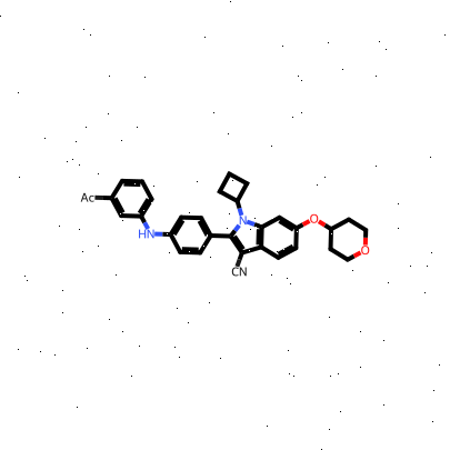 CC(=O)c1cccc(Nc2ccc(-c3c(C#N)c4ccc(OC5CCOCC5)cc4n3C3CCC3)cc2)c1